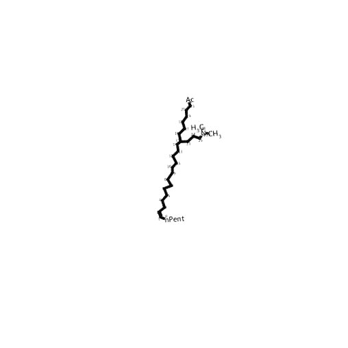 CCCCC/C=C\CCCCCCCCCCCCC(CCCCCCC(C)=O)CCCN(C)C